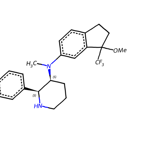 COC1(C(F)(F)F)CCc2ccc(N(C)[C@H]3CCCN[C@H]3c3ccccc3)cc21